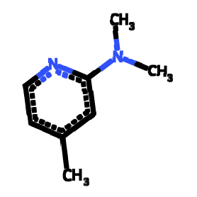 Cc1ccnc(N(C)C)c1